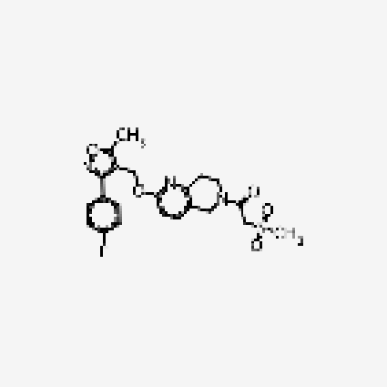 Cc1onc(-c2ccc(F)cc2)c1COc1ccc2c(n1)CCN(C(=O)CS(C)(=O)=O)C2